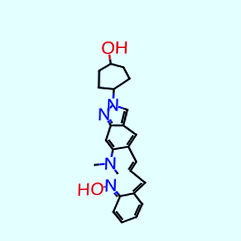 CN(C)c1cc2nn(C3CCC(O)CC3)cc2cc1/C=C/C=C1/C=CC=C/C1=N\O